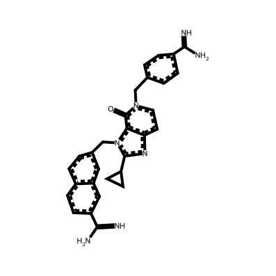 N=C(N)c1ccc(Cn2ccc3nc(C4CC4)n(Cc4ccc5ccc(C(=N)N)cc5c4)c3c2=O)cc1